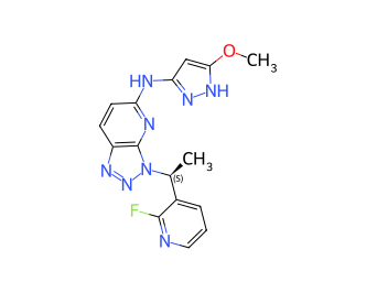 COc1cc(Nc2ccc3nnn([C@@H](C)c4cccnc4F)c3n2)n[nH]1